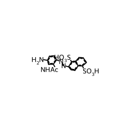 CC(=O)Nc1cc(N)ccc1N=Nc1ccc2c(S(=O)(=O)O)cccc2c1S(=O)(=O)O